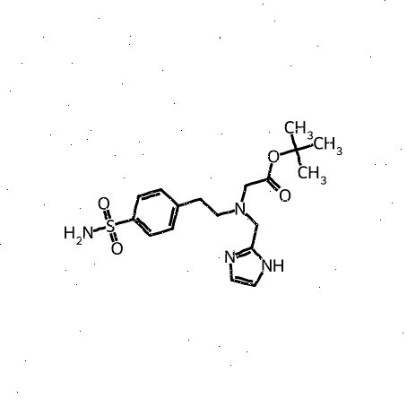 CC(C)(C)OC(=O)CN(CCc1ccc(S(N)(=O)=O)cc1)Cc1ncc[nH]1